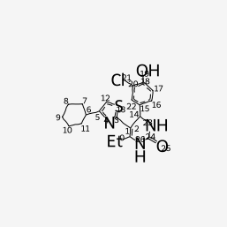 CCC1=C(c2nc(C3CCCCC3)cs2)C(c2ccc(O)c(Cl)c2)NC(=O)N1